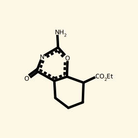 CCOC(=O)C1CCCc2c1oc(N)nc2=O